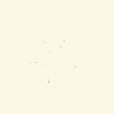 CC(=O)CN1CC[C@]2(CCCN2C(=O)[C@@H](NC(=O)[C@@H](NC(=O)[C@H](CC(=O)O)NC(=O)c2cccnc2)C(C)C)C(C)C)C1=O